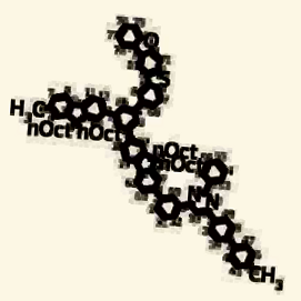 CCCCCCCCC1(CCCCCCCC)c2cc(C)ccc2-c2ccc(-c3cc(-c4ccc5c(c4)C(CCCCCCCC)(CCCCCCCC)c4cc(-c6cccc(-c7cc(-c8ccc(-c9ccc(C)cc9)cc8)nc(-c8ccccc8)n7)c6)ccc4-5)cc(-c4ccc5sc6cc7oc8ccccc8c7cc6c5c4)c3)cc21